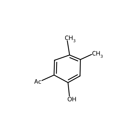 CC(=O)c1cc(C)c(C)cc1O